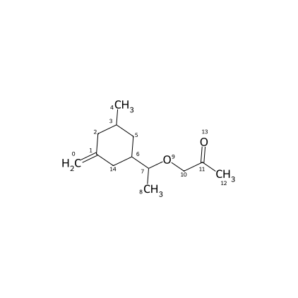 C=C1CC(C)CC(C(C)OCC(C)=O)C1